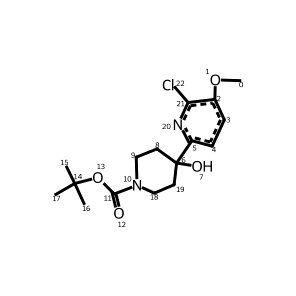 COc1ccc(C2(O)CCN(C(=O)OC(C)(C)C)CC2)nc1Cl